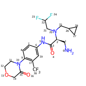 NC[C@@H](C(=O)Nc1ccc(N2CCOCC2=O)c(C(F)(F)F)c1)N(CC(F)F)CC1CC1